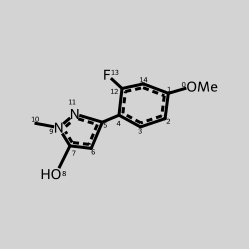 COc1ccc(-c2cc(O)n(C)n2)c(F)c1